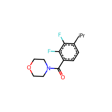 CC(C)c1ccc(C(=O)N2CCOCC2)c(F)c1F